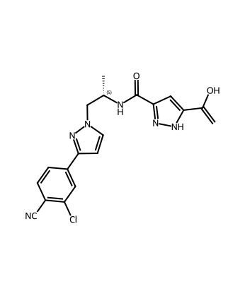 C=C(O)c1cc(C(=O)N[C@@H](C)Cn2ccc(-c3ccc(C#N)c(Cl)c3)n2)n[nH]1